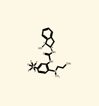 CC(=O)OCCN(C)c1ccc(S(F)(F)(F)(F)F)cc1NC(=O)N[C@@H]1Cc2ccccc2[C@@H]1O